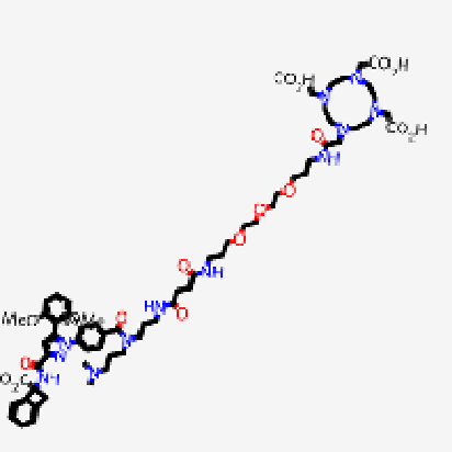 COc1cccc(OC)c1-c1cc(C(=O)NC2(C(=O)O)CC3=CCC=C=C32)nn1-c1ccc(C(=O)N(CCCNC(=O)CCC(=O)NCCCOCCOCCOCCCNC(=O)CN2CCN(CC(=O)O)CCN(CC(=O)O)CCN(CC(=O)O)CC2)CCCN(C)C)cc1C(C)C